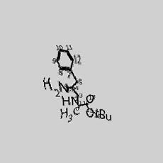 CC(NC[C@@H](N)Cc1ccccc1)C(=O)OC(C)(C)C